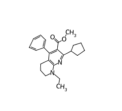 CCN1CCCc2c1nc(C1CCCC1)c(C(=O)OC)c2-c1ccccc1